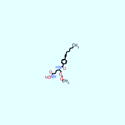 CCCCCC#Cc1ccc(C(=O)NC(CCC(=O)NO)COCOC)cc1